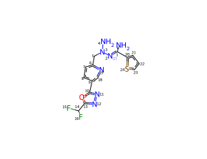 N/C(=N\N(N)Cc1ccc(-c2nnc(C(F)F)o2)cn1)c1cccs1